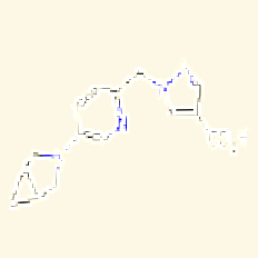 O=C(O)c1cnn(Cc2ccc(N3CC4CC4C3)cn2)c1